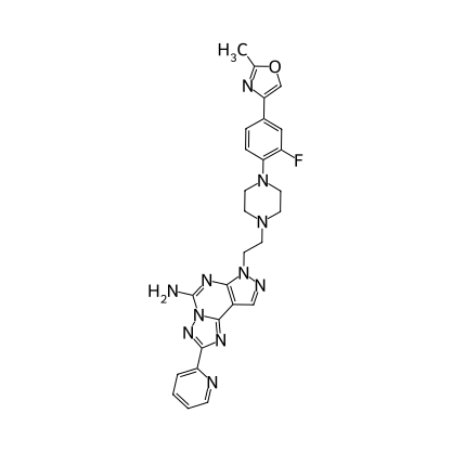 Cc1nc(-c2ccc(N3CCN(CCn4ncc5c4nc(N)n4nc(-c6ccccn6)nc54)CC3)c(F)c2)co1